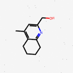 Cc1cc(CO)nc2c1CCCC2